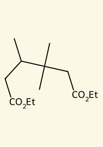 CCOC(=O)CC(C)C(C)(C)CC(=O)OCC